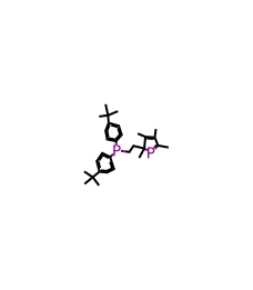 CC1=PC(C)(CCP(c2ccc(C(C)(C)C)cc2)c2ccc(C(C)(C)C)cc2)C(C)=C1C